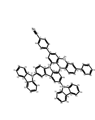 N#Cc1ccc(-c2cc3c4c(c2)-n2c5ccc(-n6c7ccccc7c7ccccc76)cc5c5cc(-n6c7ccccc7c7ccccc76)cc(c52)B4c2ccc(-c4ccccc4)cc2O3)cc1